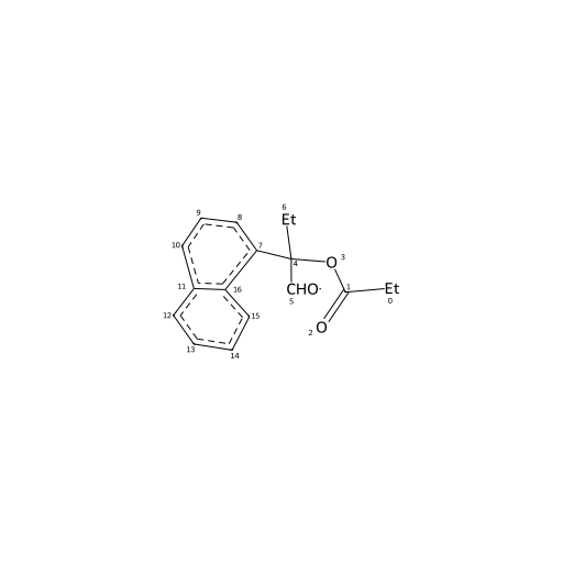 CCC(=O)OC([C]=O)(CC)c1cccc2ccccc12